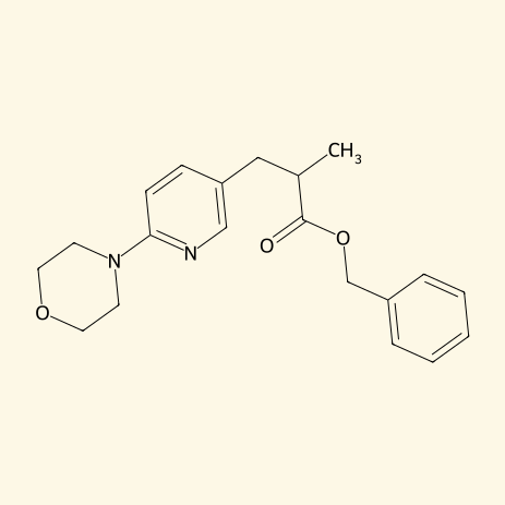 CC(Cc1ccc(N2CCOCC2)nc1)C(=O)OCc1ccccc1